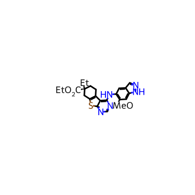 CCOC(=O)[C@@]1(CC)CCc2c(sc3ncnc(Nc4cc5cn[nH]c5cc4OC)c23)C1